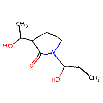 CCC(O)N1CCC(C(C)O)C1=O